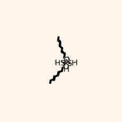 CCCCCCCCO[PH](S)(S)OCCCCCCCC